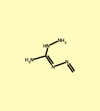 C=N/N=C(/N)NN